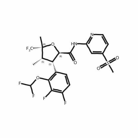 C[C@H]1[C@@H](c2ccc(F)c(F)c2OC(F)F)[C@H](C(=O)Nc2cc(S(C)(=O)=O)ccn2)O[C@@]1(C)C(F)(F)F